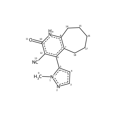 Cn1nccc1-c1c2c([nH]c(=O)c1C#N)CCCCC2